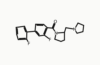 O=C(c1ccc(-c2ccccc2F)cc1F)N1CCCC1CN1CCCC1